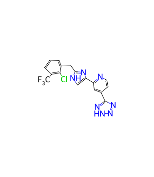 FC(F)(F)c1cccc(Cc2nc(-c3cc(-c4nn[nH]n4)ccn3)c[nH]2)c1Cl